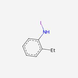 CCc1ccccc1NI